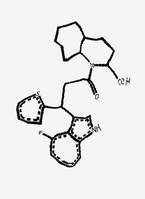 O=C(O)C1CCC2CCCCC2N1C(=O)CC(c1cccs1)c1c[nH]c2cccc(F)c12